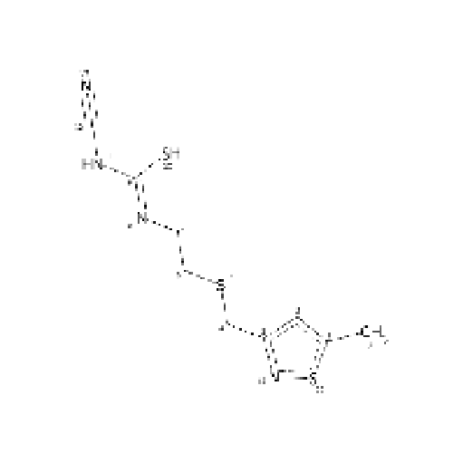 Cc1cc(CSCCN=C(S)NC#N)ns1